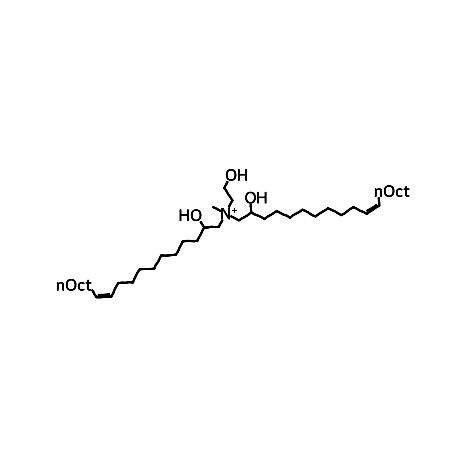 CCCCCCCC/C=C\CCCCCCCCC(O)C[N+](C)(CCO)CC(O)CCCCCCCC/C=C\CCCCCCCC